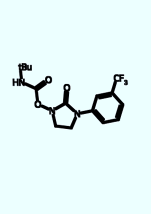 CC(C)(C)NC(=O)ON1CCN(c2cccc(C(F)(F)F)c2)C1=O